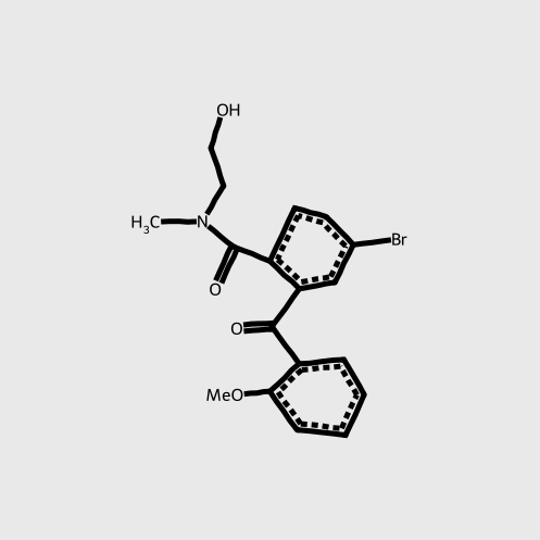 COc1ccccc1C(=O)c1cc(Br)ccc1C(=O)N(C)CCO